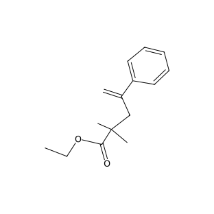 C=C(CC(C)(C)C(=O)OCC)c1ccccc1